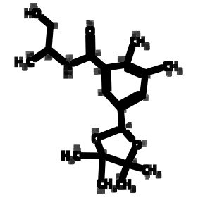 Cc1cc(B2OC(C)(C)C(C)(C)O2)cc(C(=O)NC(C)CO)c1C